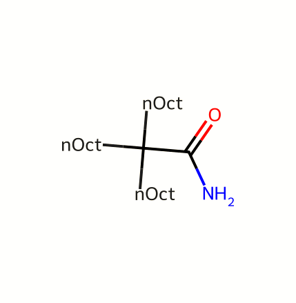 CCCCCCCCC(CCCCCCCC)(CCCCCCCC)C(N)=O